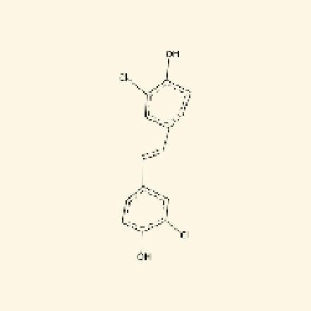 Oc1ccc(C=Cc2ccc(O)c(Cl)c2)cc1Cl